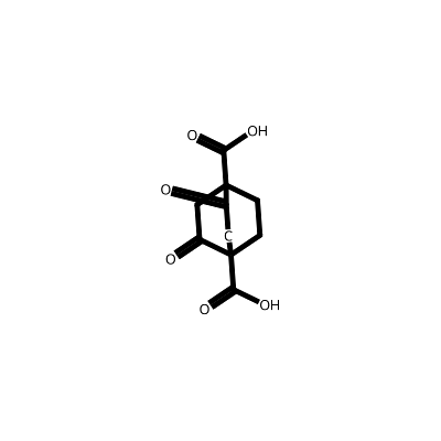 O=C(O)C12CCC(C(=O)O)(CC1=O)C(=O)C2